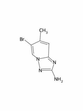 Cc1cc2nc(N)nn2cc1Br